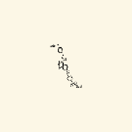 COc1ccc(CCNc2ncnc3cc(OCC4CCN(C(=O)OC(C)(C)C)CC4)ccc23)cc1